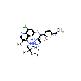 C=C(/C=C\C(F)=C/C)[C@H](Nc1cc(Cl)c2ncc(C#N)c(NCC(C)(C)C(C)C)c2c1)C1=CNNN1